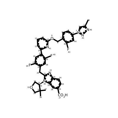 Cc1cn(-c2ccc(COc3cccc(-c4cc(F)c(Cc5nc6ccc(C(=O)O)cc6n5[C@@H]5COCC5(C)C)cc4F)n3)c(F)c2)nn1